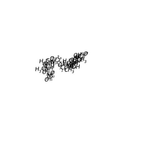 Cc1ccc(OCc2cccc(NC(=O)[C@H](C)NC(=O)[C@H](C)NC(=O)CCN3C(=O)C=CC3=O)c2)c(F)c1[C@H]1O[C@@H]2C[C@H]3[C@@H]4CCC5=CC(=O)C=C[C@]5(C)[C@H]4[C@@H](O)C[C@]3(C)[C@]2(C(=O)CO)O1